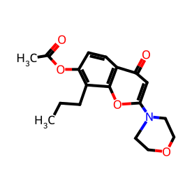 CCCc1c(OC(C)=O)ccc2c(=O)cc(N3CCOCC3)oc12